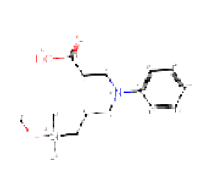 CO[Si](C)(C)CCCN(CCC(=O)O)c1ccccc1